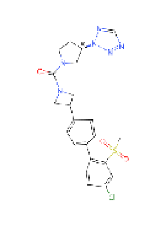 CS(=O)(=O)c1cc(Cl)ccc1-c1ccc(C2CN(C(=O)N3CC[C@@H](n4ncnn4)C3)C2)cc1